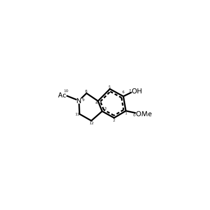 COc1cc2c(cc1O)CN(C(C)=O)CC2